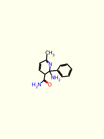 CC1=NC(N)(c2ccccc2)C(C(N)=O)C=C1